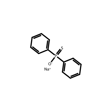 [Na+].[O-]P(=S)(c1ccccc1)c1ccccc1